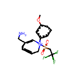 COc1cccc([N+]2(S(=O)(=O)CC(F)(F)F)C=C(CN)C=CC2)c1